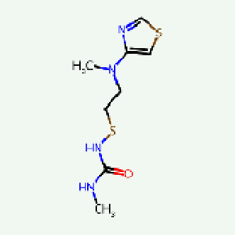 CNC(=O)NSCCN(C)c1cscn1